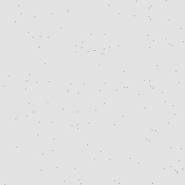 Cc1ccc2c(c1)CCCC(C1CCC(=O)NC1=O)C2=O